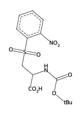 CC(C)(C)OC(=O)NC(CS(=O)(=O)c1ccccc1[N+](=O)[O-])C(=O)O